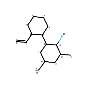 C=CC1CCCCC1C1CC(C(C)=O)CC(C)C1F